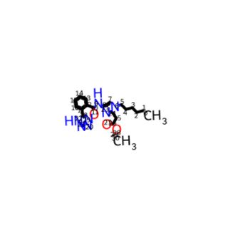 CCCCCCn1cc(NC(=O)c2ccccc2-c2nnn[nH]2)nc1CC(=O)OCC